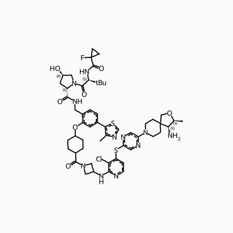 Cc1ncsc1-c1ccc(CNC(=O)[C@@H]2C[C@@H](O)CN2C(=O)[C@@H](NC(=O)C2(F)CC2)C(C)(C)C)c(OC2CCC(C(=O)N3CC(Nc4nccc(Sc5cnc(N6CCC7(CC6)CO[C@@H](C)[C@H]7N)cn5)c4Cl)C3)CC2)c1